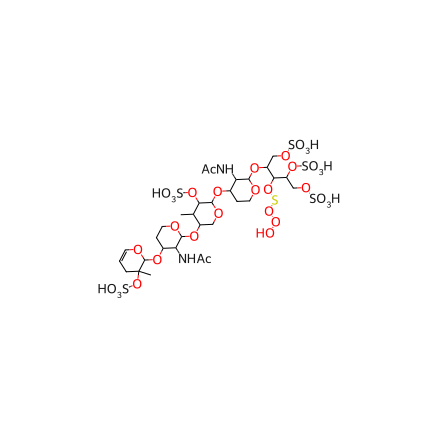 CC(=O)NC1C(OC2OC=CCC2(C)OS(=O)(=O)O)CCOC1OC1COC(OC2CCOC(OC(COS(=O)(=O)O)C(OSOOO)C(COS(=O)(=O)O)OS(=O)(=O)O)C2NC(C)=O)C(OS(=O)(=O)O)C1C